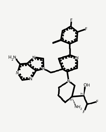 Cc1cc(F)c(F)cc1-c1cc(Cn2cnc3c(N)ncnc32)c(N2CCC[C@](N)([C@@H](O)C(F)F)C2)cn1